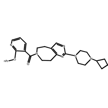 CCCOc1ncccc1C(=O)N1CCc2cnc(N3CCN(C4CCC4)CC3)nc2CC1